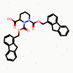 O=C(O)C1CCCN(C(=O)OCc2cccc3c2Cc2ccccc2-3)N1C(=O)OCc1cccc2c1Cc1ccccc1-2